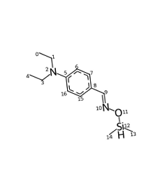 CCN(CC)c1ccc(C=NO[SiH](C)C)cc1